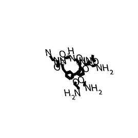 CC(=O)N[C@@H](CCN)C(=O)N(C)[C@@H]1C(=O)N[C@@H](C)C(=O)N[C@H](C(=O)NCC#N)Cc2ccc(OCCN)c(c2)-c2cc1ccc2OCCN